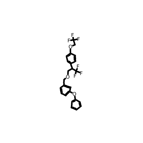 FC(F)(F)COc1ccc(C(COCc2cccc(Oc3ccccc3)c2)C(F)(F)F)cc1